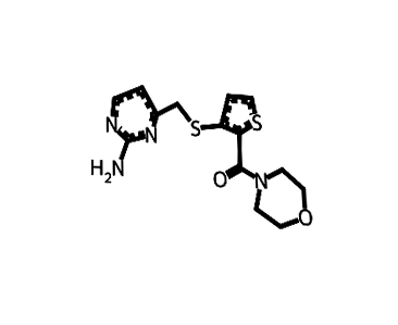 Nc1nccc(CSc2ccsc2C(=O)N2CCOCC2)n1